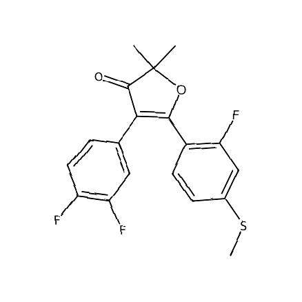 CSc1ccc(C2=C(c3ccc(F)c(F)c3)C(=O)C(C)(C)O2)c(F)c1